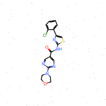 O=C(Nc1nc(-c2ccccc2Cl)cs1)c1cnc(N2CCOCC2)nc1